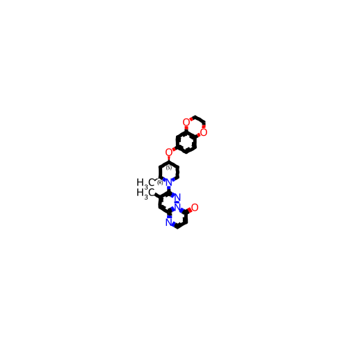 Cc1cc2nccc(=O)n2nc1N1CC[C@H](Oc2ccc3c(c2)OCCO3)C[C@H]1C